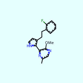 COc1ncc(C)nc1-c1[nH]ccc1CCc1ccccc1F